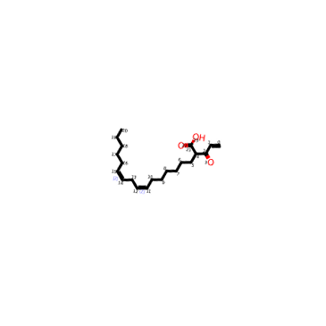 C=CC(=O)C(CCCCCC/C=C\C/C=C\CCCCC)C(=O)O